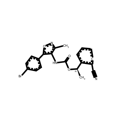 Cc1noc(-c2ccc(Br)cc2)c1NC(=O)O[C@H](C)c1ccccc1C#N